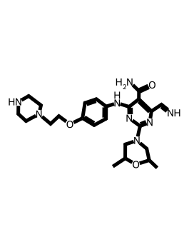 CC1CN(c2nc(C=N)c(C(N)=O)c(Nc3ccc(OCCN4CCNCC4)cc3)n2)CC(C)O1